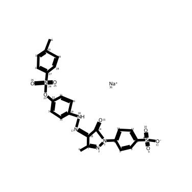 CC1=NN(c2ccc(S(=O)(=O)[O-])cc2)C(=O)/C1=N\Nc1ccc(OS(=O)(=O)c2ccc(C)cc2)cc1.[Na+]